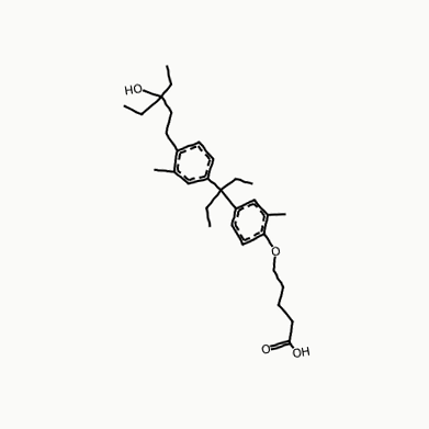 CCC(O)(CC)CCc1ccc(C(CC)(CC)c2ccc(OCCCCC(=O)O)c(C)c2)cc1C